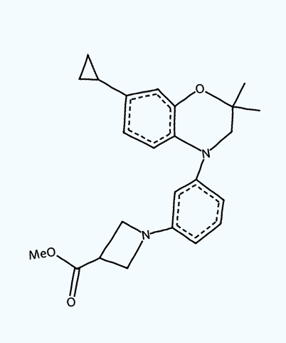 COC(=O)C1CN(c2cccc(N3CC(C)(C)Oc4cc(C5CC5)ccc43)c2)C1